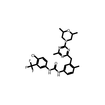 Cc1nc(Cc2cc(NC(=O)Nc3ccc(Cl)c(C(F)(F)F)c3)ccc2C)nc(N2CC(C)OC(C)C2)n1